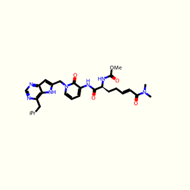 COC(=O)N[C@@H](CC/C=C/C(=O)N(C)C)C(=O)Nc1cccn(Cc2cc3ncnc(CC(C)C)c3[nH]2)c1=O